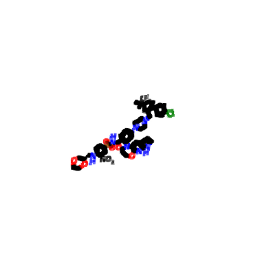 CC(C)([C@@H]1CCC(c2ccc(Cl)cc2)=C(CN2CCN(c3ccc(C(=O)NS(=O)(=O)c4ccc(NC[C@H]5COCCO5)c([N+](=O)[O-])c4)c(N4CCCOc5nc6[nH]ccc6cc54)c3)CC2)C1)C(F)(F)F